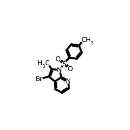 Cc1ccc(S(=O)(=O)n2c(C)c(Br)c3cccnc32)cc1